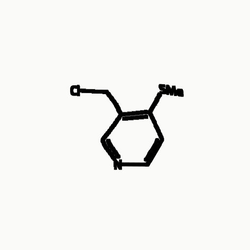 CSc1ccncc1CCl